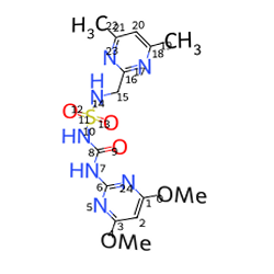 COc1cc(OC)nc(NC(=O)NS(=O)(=O)NCc2nc(C)cc(C)n2)n1